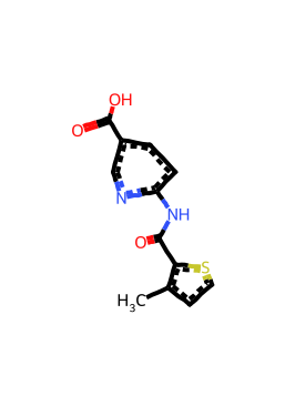 Cc1ccsc1C(=O)Nc1ccc(C(=O)O)cn1